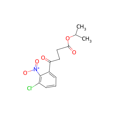 CC(C)OC(=O)CCC(=O)c1cccc(Cl)c1[N+](=O)[O-]